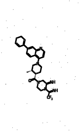 C[C@@H]1CN(c2ccnc3cc(C4=CCCC=C4)ccc23)CC[C@@H]1C(=O)N1CCN(C(=N)C(F)(F)F)C(=N)C1